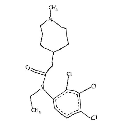 CCN(C(=O)CC1CCN(C)CC1)c1ccc(Cl)c(Cl)c1Cl